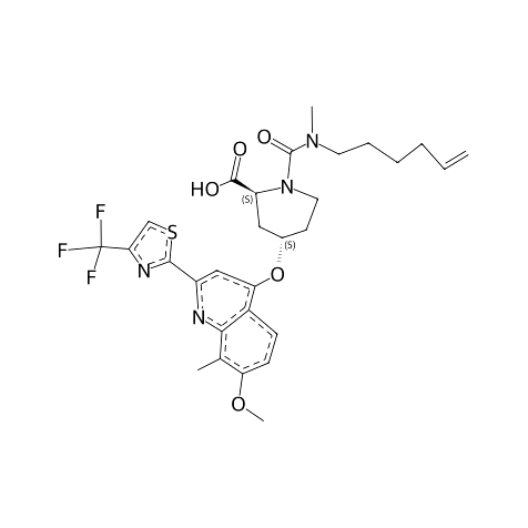 C=CCCCCN(C)C(=O)N1CC[C@H](Oc2cc(-c3nc(C(F)(F)F)cs3)nc3c(C)c(OC)ccc23)C[C@H]1C(=O)O